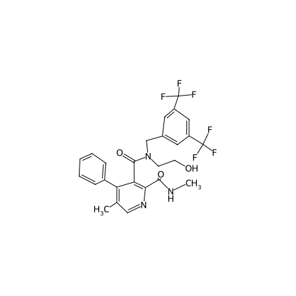 CNC(=O)c1ncc(C)c(-c2ccccc2)c1C(=O)N(CCO)Cc1cc(C(F)(F)F)cc(C(F)(F)F)c1